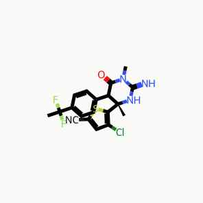 CN1C(=N)N[C@](C)(c2sc(C#N)cc2Cl)C(c2ccc(C(C)(F)F)cc2)C1=O